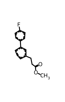 COC(=O)CCc1cccc(-c2ccc(F)cc2)c1